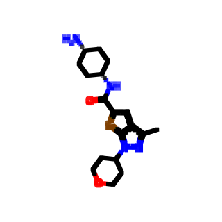 Cc1nn(C2CCOCC2)c2sc(C(=O)N[C@H]3CC[C@@H](N)CC3)cc12